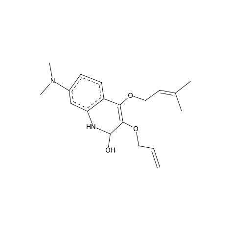 C=CCOC1=C(OCC=C(C)C)c2ccc(N(C)C)cc2NC1O